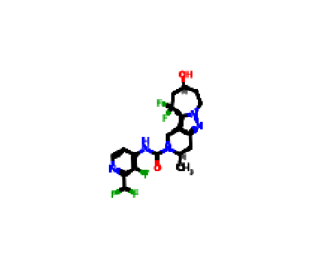 C[C@@H]1Cc2nn3c(c2CN1C(=O)Nc1ccnc(C(F)F)c1F)C(F)(F)C[C@@H](O)CC3